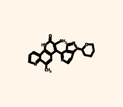 Cc1cc2c(-c3nccc4c3cnn4C3CCCCO3)c(N)c(=O)[nH]c2c2cccnc12